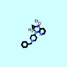 CCON(c1cccnc1N(C)C1CCN(Cc2ccccc2)CC1)C1CC1